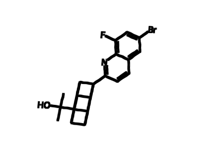 CC(C)(O)C12C3C4C1C1C2C3C41c1ccc2cc(Br)cc(F)c2n1